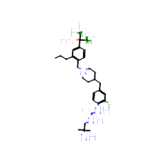 CCCc1cc(C(O)(C(F)(F)F)C(F)(F)F)ccc1CN1CCC(Cc2ccc(NC(=O)NCC(C)(C)N)c(F)c2)CC1